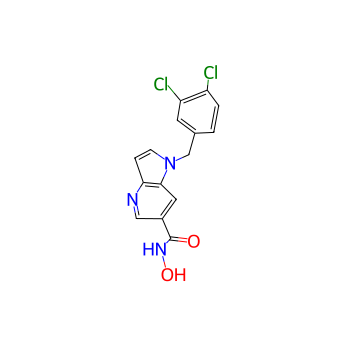 O=C(NO)c1cnc2ccn(Cc3ccc(Cl)c(Cl)c3)c2c1